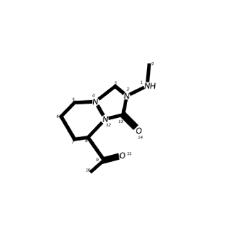 CNN1CN2CCCC(C(C)=O)N2C1=O